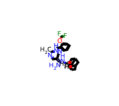 C=C(/N=C\C(C#N)=C(/N)NC[C@]12CC3CC(C1)[C@@H](C)C(C3)C2)NCc1ccccc1OC(F)F